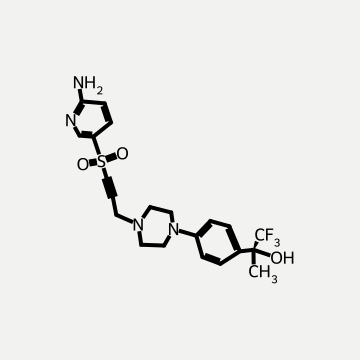 C[C@@](O)(c1ccc(N2CCN(CC#CS(=O)(=O)c3ccc(N)nc3)CC2)cc1)C(F)(F)F